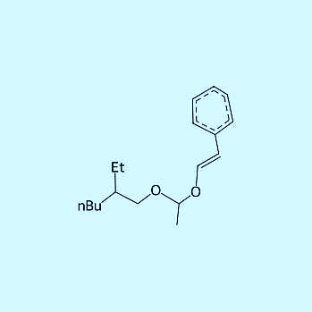 CCCCC(CC)COC(C)OC=Cc1ccccc1